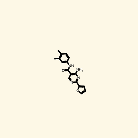 Cc1ccc(NC(=O)c2cnc(-c3ccco3)nc2N)cc1C